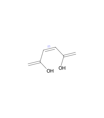 C=C(O)/C=C\C(=C)O